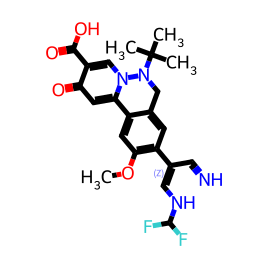 COc1cc2c(cc1/C(C=N)=C/NC(F)F)CN(C(C)(C)C)n1cc(C(=O)O)c(=O)cc1-2